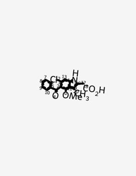 COc1c(C(=O)c2ccccc2)c(Cl)cc2[nH]c(CC(=O)O)c(C)c12